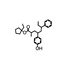 CCC(CC(CC(C)C(=O)OC1(CC)CCCC1)c1ccc(O)cc1)c1ccccc1